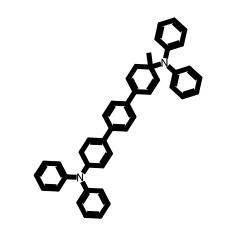 CC1(N(c2ccccc2)c2ccccc2)C=CC(c2ccc(C3=CCC(N(c4ccccc4)c4ccccc4)C=C3)cc2)=CC1